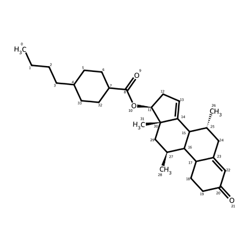 CCCCC1CCC(C(=O)O[C@H]2CC=C3C4C(C5CCC(=O)C=C5C[C@H]4C)[C@@H](C)C[C@@]32C)CC1